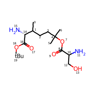 CC(CCC(C)(C)OC(=O)C(N)CO)[C@@H](N)C(=O)OC(C)(C)C